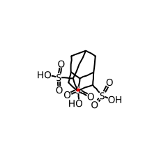 O=S(=O)(O)C1C2CC3CC1C(S(=O)(=O)O)C(C2)C3S(=O)(=O)O